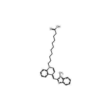 C[n+]1c(C=C2C=CN(CCCCCCCCCCC(=O)O)c3ccccc32)sc2ccccc21